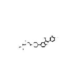 CCN(CC)C(=O)CN(C)CC(=O)N1CCC(c2ccc3[nH]c(-c4ccc(OC)c(OC)c4)c(C(C)C)c3c2)CC1